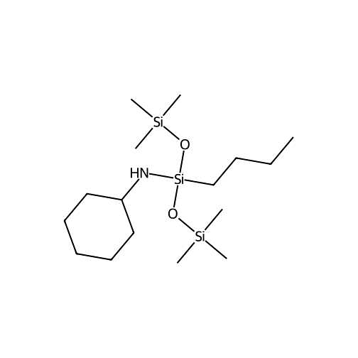 CCCC[Si](NC1CCCCC1)(O[Si](C)(C)C)O[Si](C)(C)C